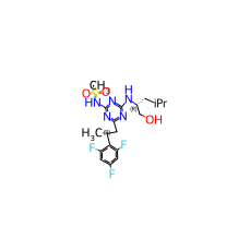 CC(C)C[C@H](CO)Nc1nc(C[C@@H](C)c2c(F)cc(F)cc2F)nc(NS(C)(=O)=O)n1